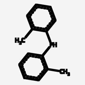 Cc1ccccc1Pc1ccccc1C